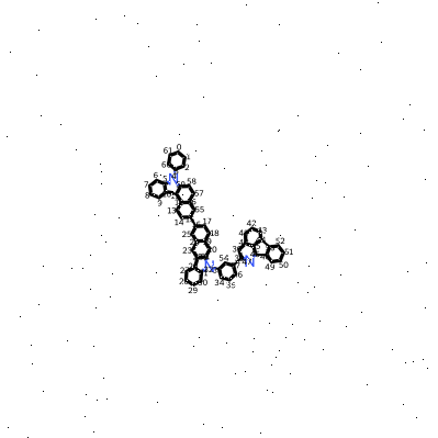 c1ccc(-n2c3ccccc3c3c4ccc(-c5ccc6cc7c(cc6c5)c5ccccc5n7-c5cccc(-c6cc7cccc8c7c(n6)-c6ccccc6-8)c5)cc4ccc32)cc1